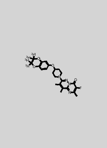 [2H]C1([2H])Oc2ccc(OC3CCN(c4nn5c(=O)c(F)c(C)nc5c(C)c4C)CC3)cc2OC1([2H])[2H]